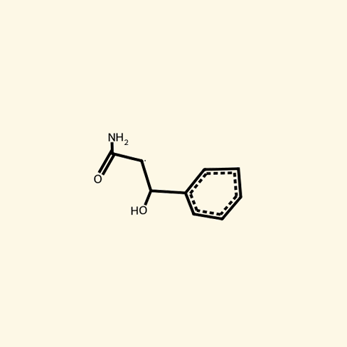 NC(=O)[CH]C(O)c1ccccc1